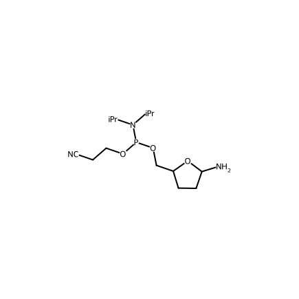 CC(C)N(C(C)C)P(OCCC#N)OCC1CCC(N)O1